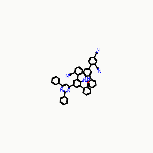 N#Cc1ccc(-c2ccc3c(c2)c2ccccc2n3-c2c(-c3ccccc3C#N)cc(-c3cc(-c4ccccc4)nc(-c4ccccc4)n3)cc2-c2ccccc2C#N)c(C#N)c1